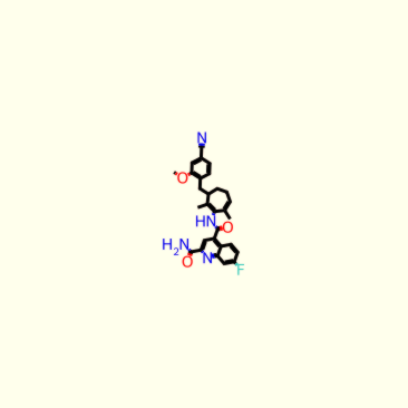 COc1cc(C#N)ccc1CC1CCC=C(C)C(NC(=O)c2cc(C(N)=O)nc3cc(F)ccc23)=C1C